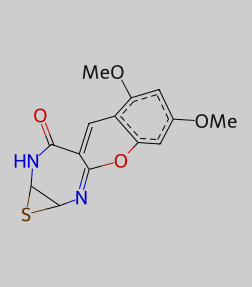 COc1cc(OC)c2c(c1)OC1=NC3SC3NC(=O)C1=C2